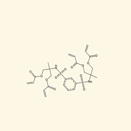 C=CC(=O)OCC(C)(COC(=O)C=C)NS(=O)(=O)c1cccc(S(=O)(=O)NC(C)(COC(=O)C=C)COC(=O)C=C)c1